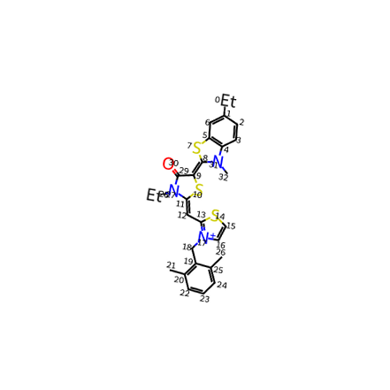 CCc1ccc2c(c1)S/C(=c1/s/c(=C\c3scc[n+]3Cc3c(C)cccc3C)n(CC)c1=O)N2C